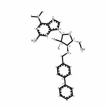 CN(C)c1nc(N)nc2c1ncn2[C@@H]1O[C@H](CO)[C@@H](OCc2ccc(-c3ccccc3)cc2)[C@@]1(C)F